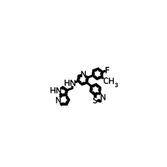 Cc1cc(-c2ncc(NCc3c[nH]c4ncccc34)cc2-c2ccc3ncsc3c2)ccc1F